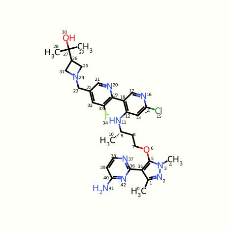 Cc1nn(C)c(OCC[C@H](C)Nc2cc(Cl)ncc2-c2ncc(CN3CC(C(C)(C)O)C3)cc2F)c1-c1nccc(N)n1